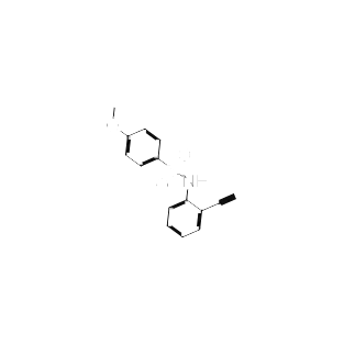 C#Cc1ccccc1NS(=O)(=O)c1ccc(OC)cc1